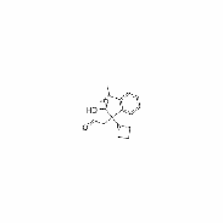 CC(C)c1ccccc1C(CC=O)(C(=O)O)N1CCC1